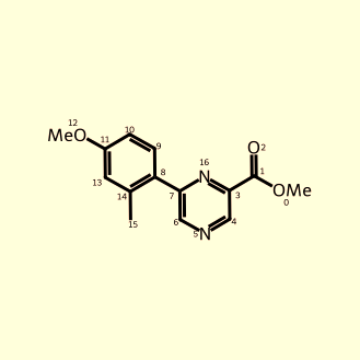 COC(=O)c1cncc(-c2ccc(OC)cc2C)n1